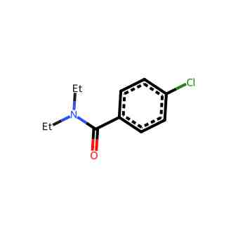 CCN(CC)C(=O)c1ccc(Cl)cc1